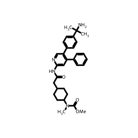 COC(=O)N(C)C1CCC(CC(=O)Nc2cc(-c3ccccc3)c(-c3ccc(C(C)(C)N)cc3)cn2)CC1